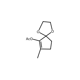 CC(=O)OC1=C(C)CCC12OCCO2